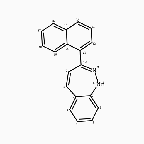 C1=Cc2ccccc2NN=C1c1cccc2ccccc12